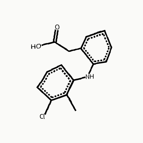 Cc1c(Cl)cccc1Nc1ccccc1CC(=O)O